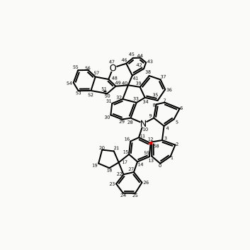 c1ccc(-c2ccccc2N(c2ccc3c(c2)C2(CCCC2)c2ccccc2-3)c2cccc3c2-c2ccccc2C32c3ccccc3Oc3c2ccc2ccccc32)cc1